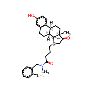 Cc1ccccc1CN(C)C(=O)CCC[C@@H]1CC(=O)[C@@]2(C)CC[C@@H]3c4ccc(O)cc4CC[C@H]3[C@H]12